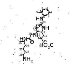 Cc1ccccc1NCC(=O)NC(CCCC(=O)O)C(=O)NCC(=O)NC(C)CCCCN